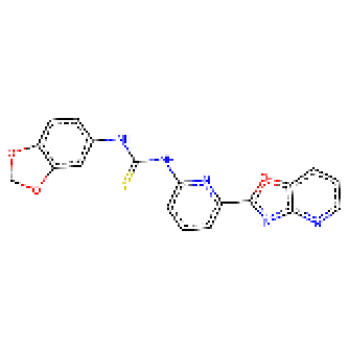 S=C(Nc1ccc2c(c1)OCO2)Nc1cccc(-c2nc3ncccc3o2)n1